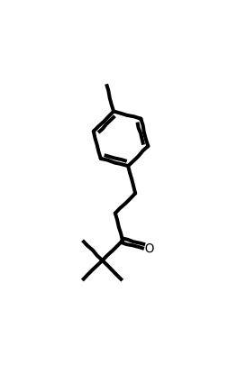 Cc1ccc(CCC(=O)C(C)(C)C)cc1